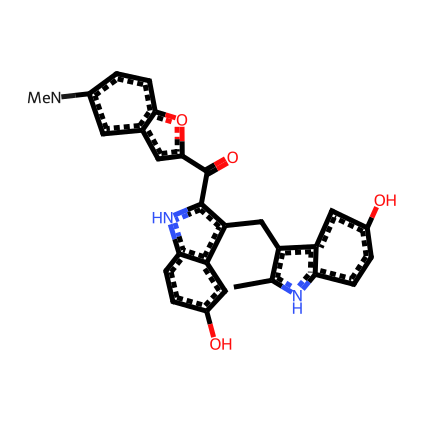 CNc1ccc2oc(C(=O)c3[nH]c4ccc(O)cc4c3Cc3c(C)[nH]c4ccc(O)cc34)cc2c1